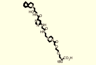 CC(C)(C)N(CCOCCOCC(=O)N1CCN(CCNC(=O)CNc2cc(C(=O)NC[C@H](O)CN3CCc4ccccc4C3)ncn2)CC1)C(=O)O